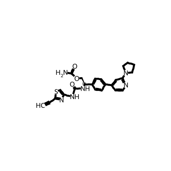 C#Cc1nc(NC(=O)N[C@@H](COC(N)=O)c2ccc(-c3ccnc(N4CCCC4)c3)cc2)cs1